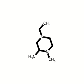 CCN1CCN(C)C(C)C1